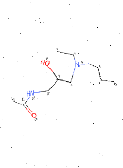 CCCN(CC)CC(O)CNC(C)=O